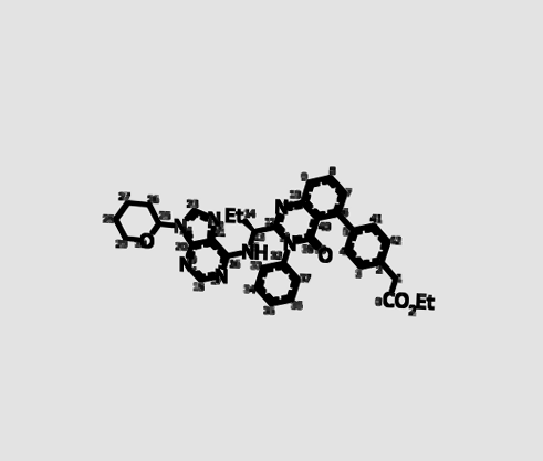 CCOC(=O)Cc1ccc(-c2cccc3nc([C@H](CC)Nc4ncnc5c4ncn5C4CCCCO4)n(-c4ccccc4)c(=O)c23)cc1